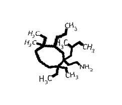 CCCC1CC(CCN)(CC(C)CC)C(CC)(CC)CCCC1(C)CC